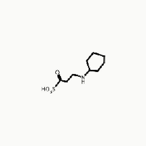 O=C(CCNC1CCCCC1)S(=O)(=O)O